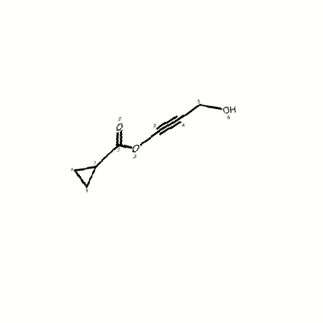 O=C(OC#CCO)C1CC1